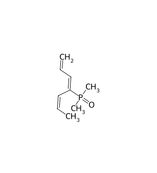 C=C/C=C(\C=C/C)P(C)(C)=O